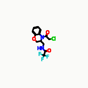 O=C(CCl)N1c2ccccc2OCC1CNC(=O)C(F)(F)F